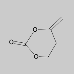 C=C1CCOC(=O)O1